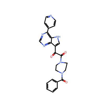 O=C(C(=O)N1CCN(C(=O)c2ccccc2)CC1)c1c[nH]c2c(-c3ccncc3)ncnc12